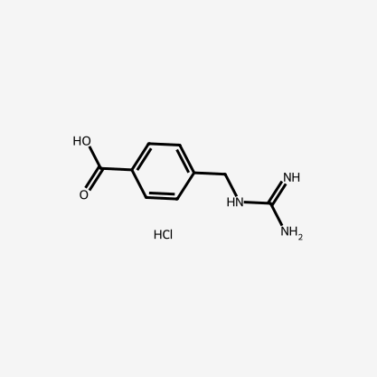 Cl.N=C(N)NCc1ccc(C(=O)O)cc1